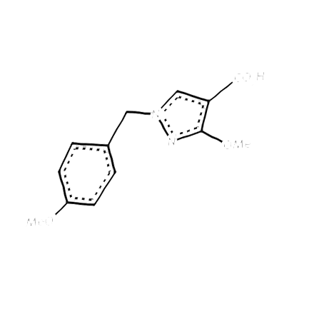 COc1ccc(Cn2cc(C(=O)O)c(OC)n2)cc1